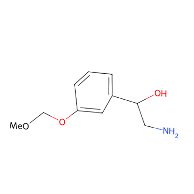 COCOc1cccc(C(O)CN)c1